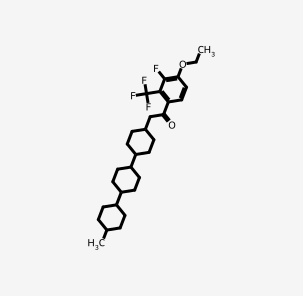 CCOc1ccc(C(=O)CC2CCC(C3CCC(C4CCC(C)CC4)CC3)CC2)c(C(F)(F)F)c1F